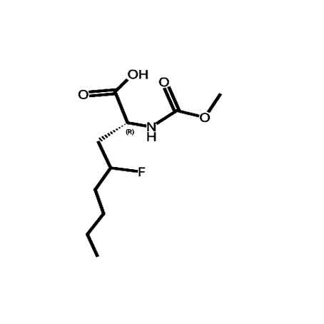 CCCCC(F)C[C@@H](NC(=O)OC)C(=O)O